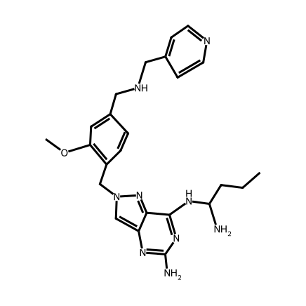 CCCC(N)Nc1nc(N)nc2cn(Cc3ccc(CNCc4ccncc4)cc3OC)nc12